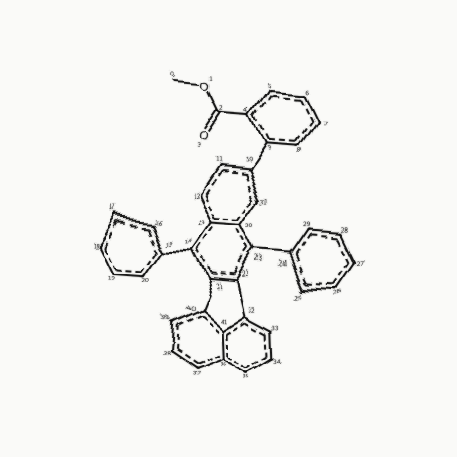 COC(=O)c1ccccc1-c1ccc2c(-c3ccccc3)c3c(c(-c4ccccc4)c2c1)-c1cccc2cccc-3c12